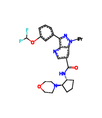 CC(C)n1nc(-c2cccc(OC(F)F)c2)c2ncc(C(=O)N[C@@H]3CCC[C@H]3N3CCOCC3)cc21